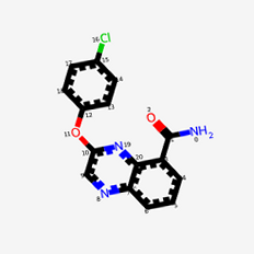 NC(=O)c1cccc2ncc(Oc3ccc(Cl)cc3)nc12